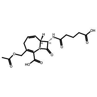 CC(=O)OCC1=C(C(=O)O)N2C(=O)[C@@H](NC(=O)CCCC(=O)O)[C@H]2C=CC1